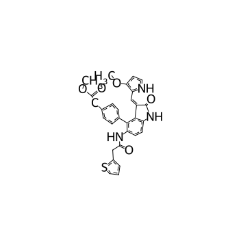 COC(=O)Cc1ccc(-c2c(NC(=O)Cc3cccs3)ccc3c2/C(=C/c2[nH]ccc2OC)C(=O)N3)cc1